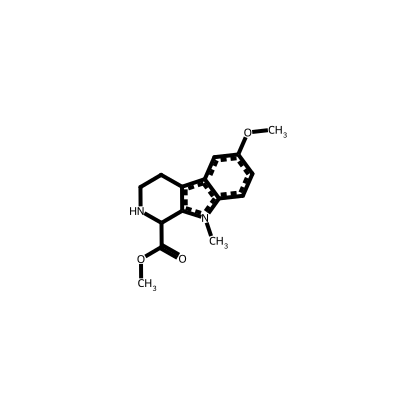 COC(=O)C1NCCc2c1n(C)c1ccc(OC)cc21